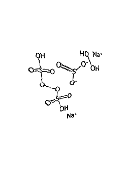 O=S(=O)(O)OOS(=O)(=O)O.O=S([O-])[O-].OO.[Na+].[Na+]